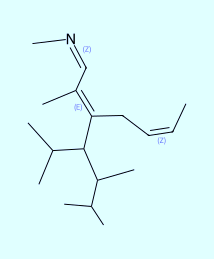 C/C=C\C/C(=C(C)\C=N/C)C(C(C)C)C(C)C(C)C